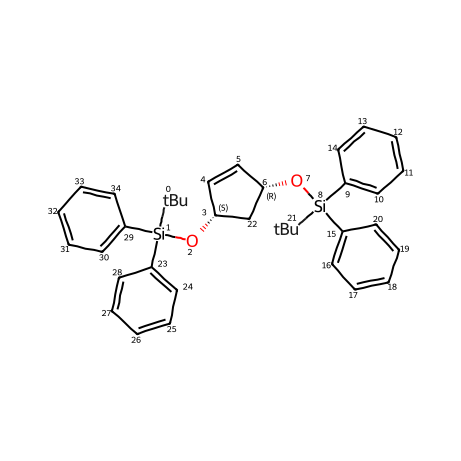 CC(C)(C)[Si](O[C@@H]1C=C[C@H](O[Si](c2ccccc2)(c2ccccc2)C(C)(C)C)C1)(c1ccccc1)c1ccccc1